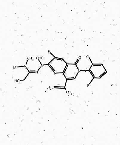 C=C(C)c1cn(-c2c(F)cccc2Cl)c(=O)c2cc(F)c(N(C=O)/N=C(/CO)N(C)CC)nc12